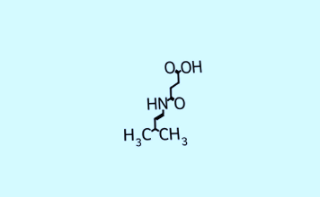 CC(C)/C=C/NC(=O)CCC(=O)O